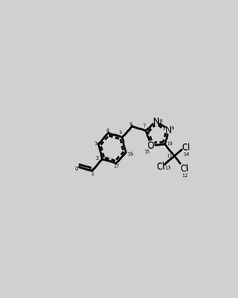 C=Cc1ccc(Cc2nnc(C(Cl)(Cl)Cl)o2)cc1